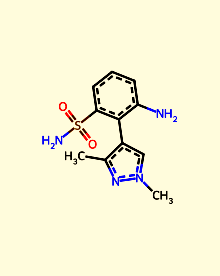 Cc1nn(C)cc1-c1c(N)cccc1S(N)(=O)=O